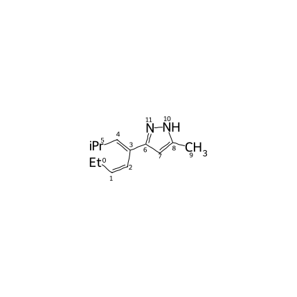 CC/C=C\C(=C/C(C)C)c1cc(C)[nH]n1